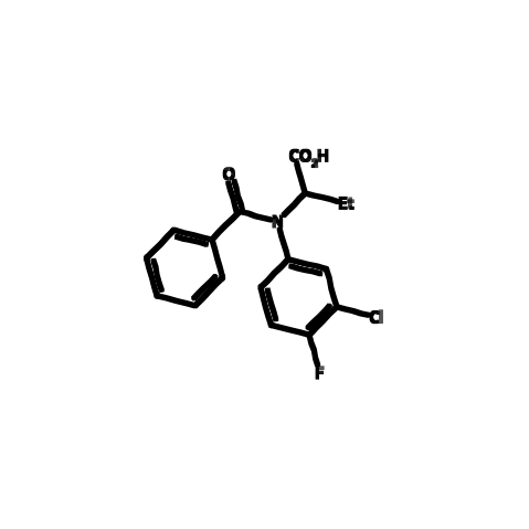 CCC(C(=O)O)N(C(=O)c1ccccc1)c1ccc(F)c(Cl)c1